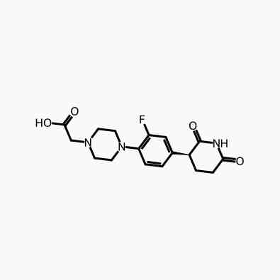 O=C(O)CN1CCN(c2ccc([C@@H]3CCC(=O)NC3=O)cc2F)CC1